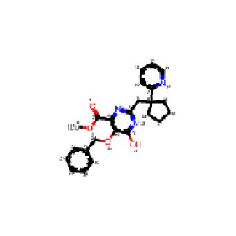 CC(C)(C)OC(=O)c1nc(CC2(c3ccccn3)CCCC2)nc(O)c1OCc1ccccc1